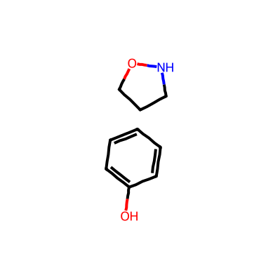 C1CNOC1.Oc1ccccc1